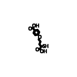 O=C(O)c1ccc(OCCCC(S)C(=O)O)cc1